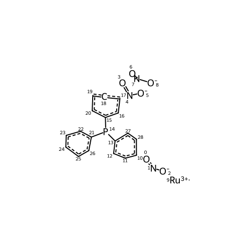 O=N[O-].O=N[O-].O=N[O-].[Ru+3].c1ccc(P(c2ccccc2)c2ccccc2)cc1